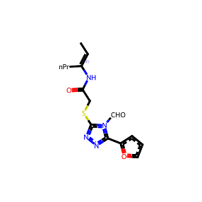 C/C=C(\CCC)NC(=O)CSc1nnc(-c2ccco2)n1C=O